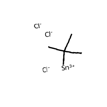 C[C](C)(C)[Sn+3].[Cl-].[Cl-].[Cl-]